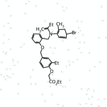 C=C(CC)N(Cc1ccccc1OCc1ccc(OCC(=O)OCC)c(CC)c1)C1=C(C)CC(Br)C=C1